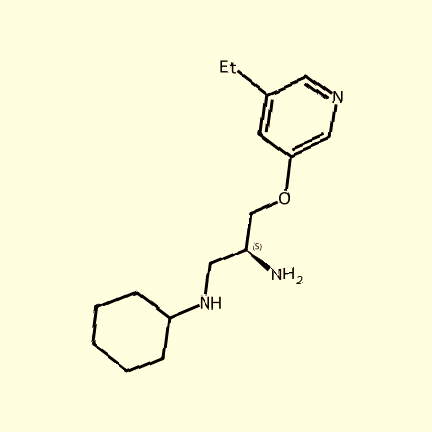 CCc1cncc(OC[C@@H](N)CNC2CCCCC2)c1